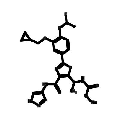 CC(NC(=O)OC(C)(C)C)c1oc(-c2ccc(OC(F)F)c(OCC3CC3)c2)nc1C(=O)Nc1cn[nH]c1